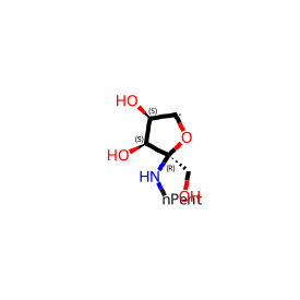 CCCCCN[C@]1(CO)O[CH][C@H](O)[C@@H]1O